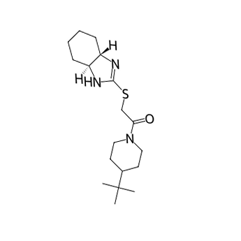 CC(C)(C)C1CCN(C(=O)CSC2=N[C@H]3CCCC[C@@H]3N2)CC1